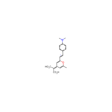 CC1=CC(=C(C(=O)O)C(=O)O)C=C(/C=C/c2ccc(N(C)C)cc2)O1